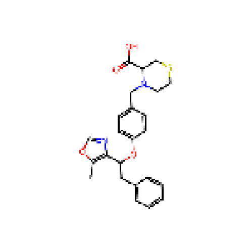 Cc1ocnc1C(Cc1ccccc1)Oc1ccc(CN2CCSCC2C(=O)O)cc1